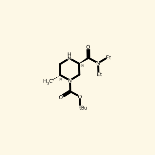 CCN(CC)C(=O)[C@H]1CN(C(=O)OC(C)(C)C)[C@H](C)CN1